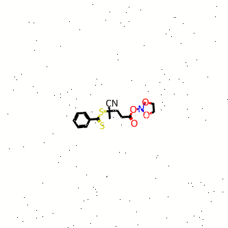 CC(C#N)(CCC(=O)ON1OCCO1)SC(=S)c1ccccc1